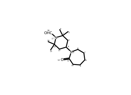 CC1(C)CC(N2CCCCCC2=O)CC(C)(C)N1C=O